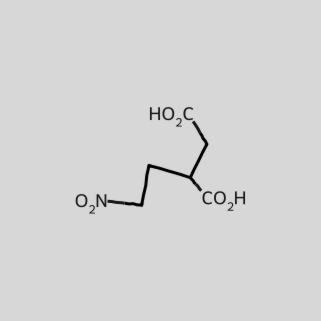 O=C(O)CC(CC[N+](=O)[O-])C(=O)O